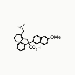 COc1ccc2cc(C(CC3=C(CN(C)C)CCCC3)(C(=O)O)c3ccccc3)ccc2c1